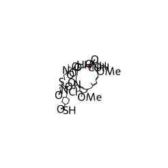 COc1cc2cc(c1Cl)N(C)C(=O)C[C@H](OC(=O)[C@H](C)N(C)C(=O)CCSC1CC(=O)N(CC3CCC(C(=O)S)CC3)C1=O)[C@]1(C)O[C@H]1[C@H](C)[C@@H]1C[C@@](O)(NC(=O)O1)[C@H](OC)/C=C/C=C(\C)C2